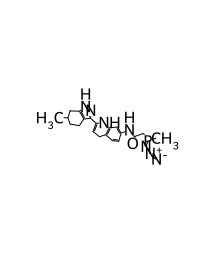 CC1CCc2c(C3=CCc4ccc(NC(=O)CP(C)N=[N+]=[N-])cc4N3)n[nH]c2C1